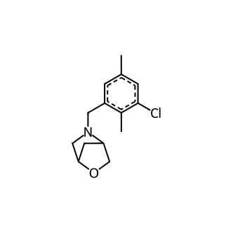 Cc1cc(Cl)c(C)c(CN2CC3CC2CO3)c1